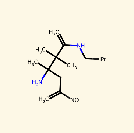 C=C(CC(C)(N)C(C)(C)C(=C)NCC(C)C)N=O